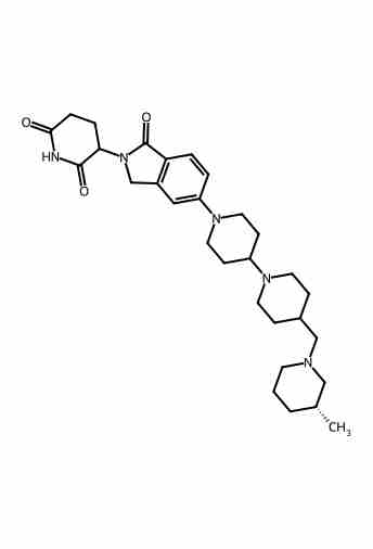 C[C@@H]1CCCN(CC2CCN(C3CCN(c4ccc5c(c4)CN(C4CCC(=O)NC4=O)C5=O)CC3)CC2)C1